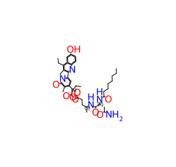 CCCCCCCC(=O)N[C@H](CC(N)=O)C(=O)N[C@@H](C)CCC(=O)O[C@]1(CC)C(=O)OCc2c1cc1n(c2=O)Cc2c-1nc1ccc(O)cc1c2CC